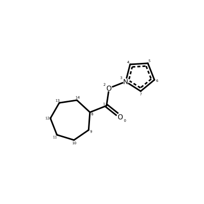 O=C(On1cccc1)C1CCCCCC1